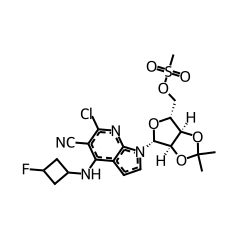 CC1(C)O[C@@H]2[C@H](O1)[C@@H](COS(C)(=O)=O)O[C@H]2n1ccc2c(NC3CC(F)C3)c(C#N)c(Cl)nc21